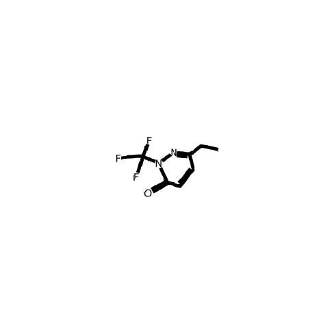 CCc1ccc(=O)n(C(F)(F)F)n1